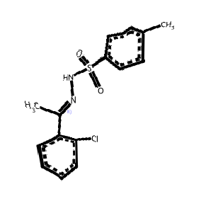 C/C(=N\NS(=O)(=O)c1ccc(C)cc1)c1ccccc1Cl